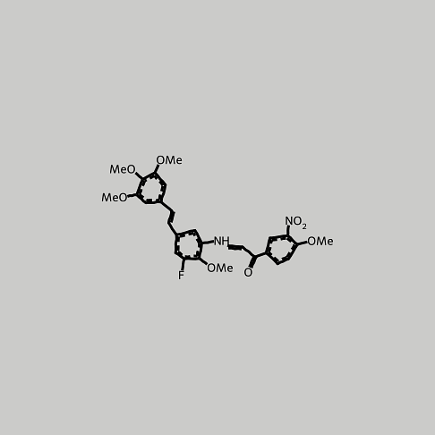 COc1ccc(C(=O)C=CNc2cc(C=Cc3cc(OC)c(OC)c(OC)c3)cc(F)c2OC)cc1[N+](=O)[O-]